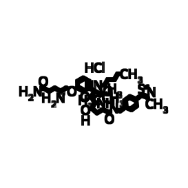 CCCCC(=O)NC(C(=O)C1NC(C(=O)NCc2ccc(-c3scnc3C)cc2)CC1O)(c1cccc(OC[C@@H](N)CCC(N)=O)c1)C(C)(C)C.Cl